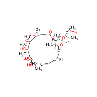 CC[C@@H]1/C=C/C=C/C[C@H](C)[C@@H](O)[C@](C)(O)C(=O)[C@H](C)[C@@H](O)[C@H](C)C(=O)[C@H](C)[C@@H](O)[C@H](C)/C=C/C(=O)O[C@H]2[C@@H](C)[C@@H](CC1)O[C@@]1(CC[C@@H](C)C(CC(C)O)O1)[C@@H]2C